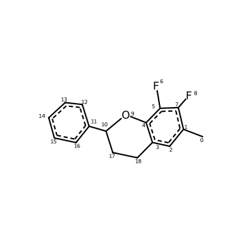 Cc1cc2c(c(F)c1F)OC(c1ccccc1)CC2